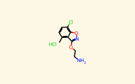 Cc1ccc(Cl)c2onc(OCCN)c12.Cl